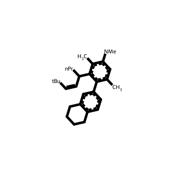 CCCC(/C=C\C(C)(C)C)c1c(C)c(NC)cc(C)c1-c1ccc2c(c1)CCCC2